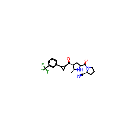 C[C@@H]1NC(C(=O)N2CCC[C@H]2C#N)C[C@@H]1C(=O)C1CC1c1cccc(C(F)(F)F)c1